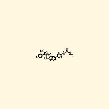 CCc1nc2ccc(-c3cnc(N4CC(NC5CN(C)C5)C4)nc3)cn2c1N(C)c1nc(-c2ccc(F)cc2)c(C#N)s1